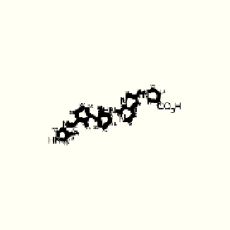 Cc1c(Nc2nccc3cc(CN4CCC(C(=O)O)C4)cnc23)cccc1-c1cccc(-c2nc3c(s2)CNC3)c1C